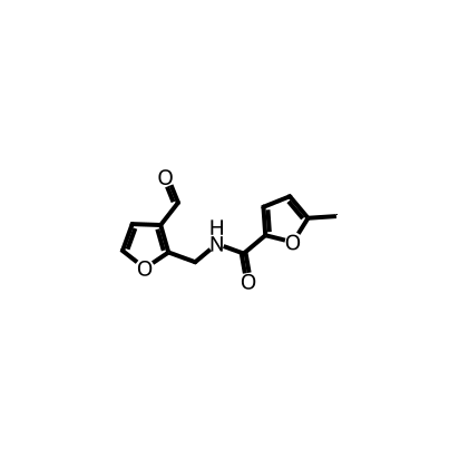 Cc1ccc(C(=O)NCc2occc2C=O)o1